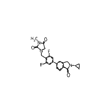 CN1C(=O)CN(Cc2c(F)cc(-c3ccc4c(c3)CN(C3CC3)C4=O)cc2F)C1=O